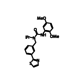 COc1ccc(OC)c(NC(=O)N(Cc2cccc(-c3nccs3)c2)C(C)C)c1